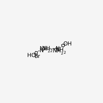 N/C(=C\N(N)CCc1ccc(O)cc1)CCCCCC/C(N)=C/N(N)CCc1ccc(O)c(Br)c1